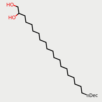 CCCCCCCCCCCCCCCCCCCCCCCCCCCCC(O)CO